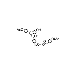 CCC(CC(CC(C)c1ccc(OC(C)=O)cc1)c1ccc(O)cc1)c1ccc(OC(C)OCCOC(=O)Cc2ccc(OC)cc2)cc1